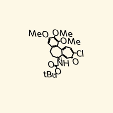 COc1cc2c(c(OC)c1OC)-c1ccc(Cl)c(=O)cc1[C@@H](NC(=O)OC(C)(C)C)CC2